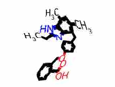 CCc1nc2c(Cc3ccc(OCc4ccccc4C(=O)O)cc3)c(C)cc(C)c2[nH]1